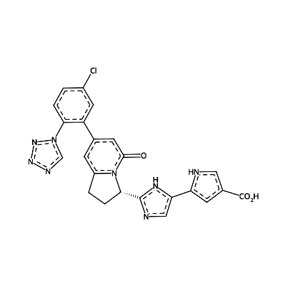 O=C(O)c1c[nH]c(-c2cnc([C@@H]3CCc4cc(-c5cc(Cl)ccc5-n5cnnn5)cc(=O)n43)[nH]2)c1